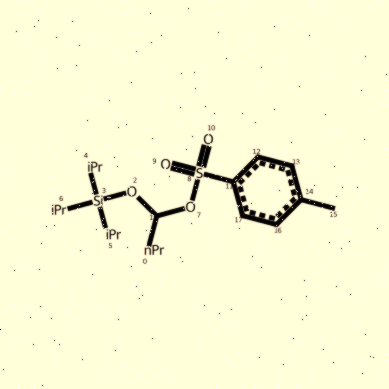 CCCC(O[Si](C(C)C)(C(C)C)C(C)C)OS(=O)(=O)c1ccc(C)cc1